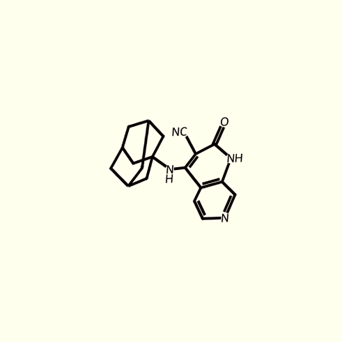 N#Cc1c(NC23CC4CC(CC(C4)C2)C3)c2ccncc2[nH]c1=O